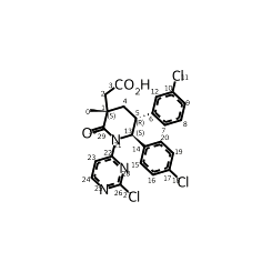 C[C@@]1(CC(=O)O)C[C@H](c2cccc(Cl)c2)[C@@H](c2ccc(Cl)cc2)N(c2ccnc(Cl)n2)C1=O